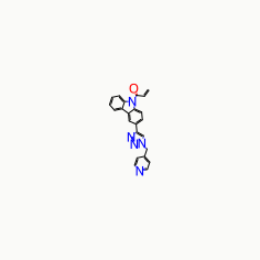 C=CC(=O)n1c2ccccc2c2cc(-c3cn(Cc4ccncc4)nn3)ccc21